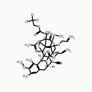 C=CCOC(=O)N1[C@@H]2Cc3cc(C)c(OC)c(C)c3[C@H]1[C@@H]1[C@@H]3SC[C@H](NC(=O)OCC(Cl)(Cl)Cl)C(=O)OC[C@@H](c4c(OCC=C)c(OC)c(C)c(OC(C)=O)c43)N1[C@H]2C#N